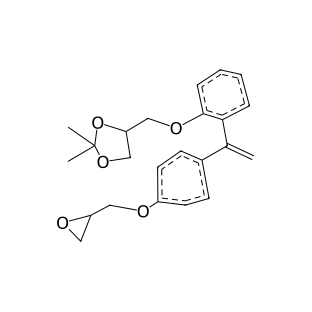 C=C(c1ccc(OCC2CO2)cc1)c1ccccc1OCC1COC(C)(C)O1